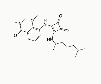 COc1c(Nc2c(NC(C)CCCC(C)C)c(=O)c2=O)cccc1C(=O)N(C)C